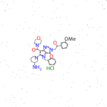 COc1cccc(C(=O)Cn2cnc3c(C(=O)N4CCOCC4)c(N4CCC[C@H](N)C4)n(Cc4ccccc4)c3c2=O)c1.Cl